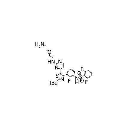 CC(C)(C)c1nc(-c2cccc(NS(=O)(=O)c3c(F)cccc3F)c2F)c(-c2ccnc(NCCOCCN)n2)s1